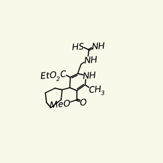 CCOC(=O)C1=C(CNC(=N)S)NC(C)=C(C(=O)OC)C1C1CCCCC1